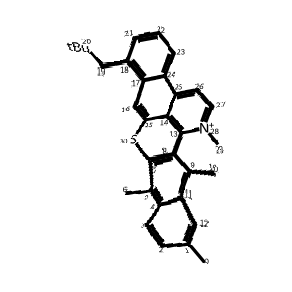 Cc1ccc2c(C)c3c(c(C)c2c1)-c1c2c(cc4c(CC(C)(C)C)cccc4c2cc[n+]1C)S3